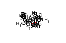 CCc1nc(N[C@@H]2[C@@H]3CC[C@H]2N(C(=O)c2cc(OC)c4c(c2)nc(-c2cccnc2C(C)C)n4C)C3)c(OC)cc1-c1nc2cc(C(=O)N3C[C@H]4CC[C@@H]3[C@@H]4N)cc(OC)c2n1C